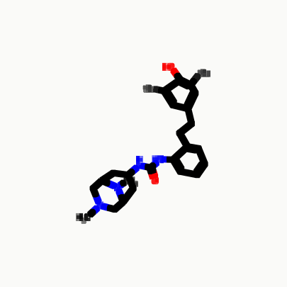 CN1CC2CC(NC(=O)Nc3ccccc3CCc3cc(C(C)(C)C)c(O)c(C(C)(C)C)c3)CC(C1)N2C